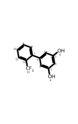 Oc1cc(O)cc(-c2ccccc2C(F)(F)F)c1